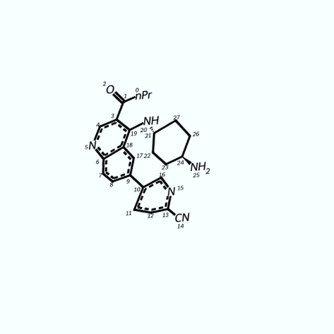 CCCC(=O)c1cnc2ccc(-c3ccc(C#N)nc3)cc2c1N[C@H]1CC[C@H](N)CC1